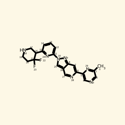 Cc1cncc(-c2cc3nn(-c4cccc(C5CNCCC5(F)F)n4)cc3cn2)n1